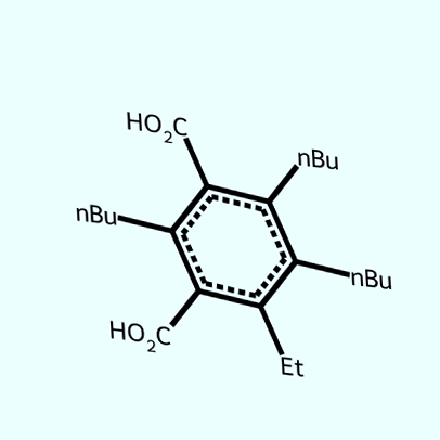 CCCCc1c(CC)c(C(=O)O)c(CCCC)c(C(=O)O)c1CCCC